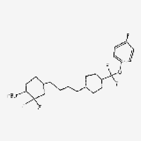 CCCCC1CCC(CCCCC2CCC(C(F)(F)Oc3ccc(F)cc3)CC2)CC1(F)F